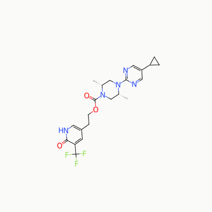 C[C@@H]1CN(c2ncc(C3CC3)cn2)[C@H](C)CN1C(=O)OCCc1c[nH]c(=O)c(C(F)(F)F)c1